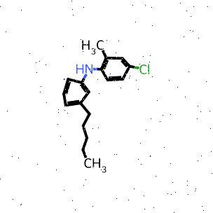 CCCCCc1cc[c]c(Nc2ccc(Cl)cc2C)c1